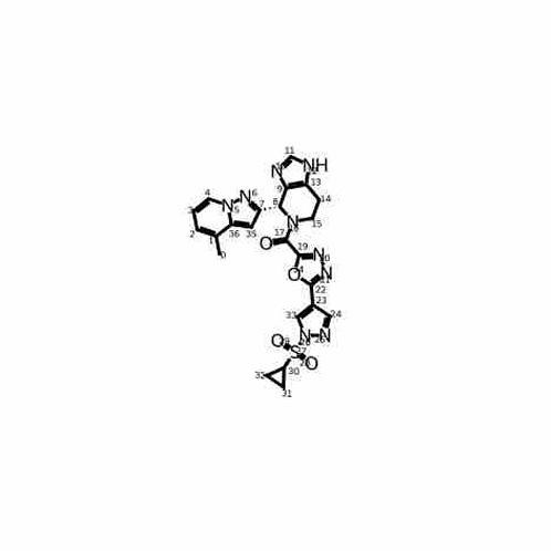 Cc1cccn2nc([C@@H]3c4nc[nH]c4CCN3C(=O)c3nnc(-c4cnn(S(=O)(=O)C5CC5)c4)o3)cc12